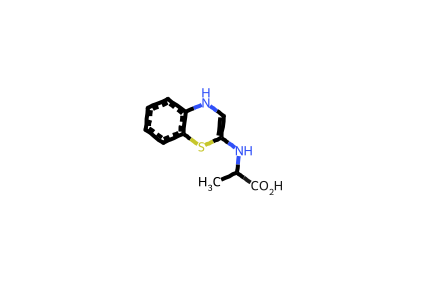 CC(NC1=CNc2ccccc2S1)C(=O)O